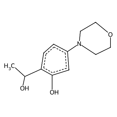 CC(O)c1ccc(N2CCOCC2)cc1O